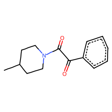 CC1CCN(C(=O)C(=O)c2ccccc2)CC1